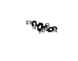 CCc1ccc(-c2ccc(C(=O)Nc3ccc4ncccc4c3)cc2)nc1